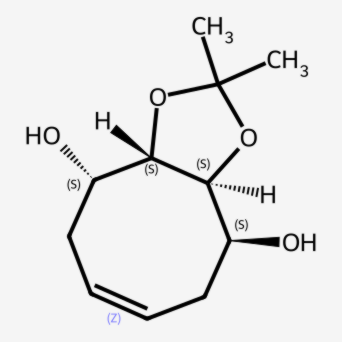 CC1(C)O[C@@H]2[C@@H](O1)[C@@H](O)C/C=C\C[C@@H]2O